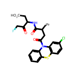 CC(C)C(CC(=O)N1c2ccccc2Sc2ccc(Cl)cc21)C(=O)NC(CC(=O)O)C(=O)CF